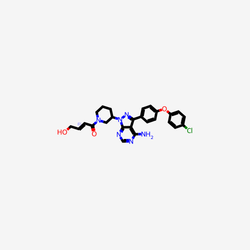 Nc1ncnc2c1c(-c1ccc(Oc3ccc(Cl)cc3)cc1)nn2C1CCCN(C(=O)/C=C/CO)C1